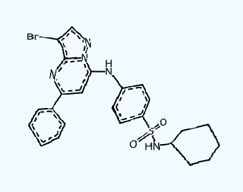 O=S(=O)(NC1CCCCC1)c1ccc(Nc2cc(-c3ccccc3)nc3c(Br)cnn23)cc1